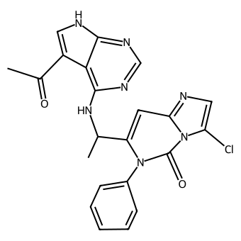 CC(=O)c1c[nH]c2ncnc(NC(C)c3cc4ncc(Cl)n4c(=O)n3-c3ccccc3)c12